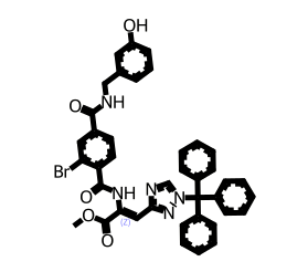 COC(=O)/C(=C/c1ncn(C(c2ccccc2)(c2ccccc2)c2ccccc2)n1)NC(=O)c1ccc(C(=O)NCc2cccc(O)c2)cc1Br